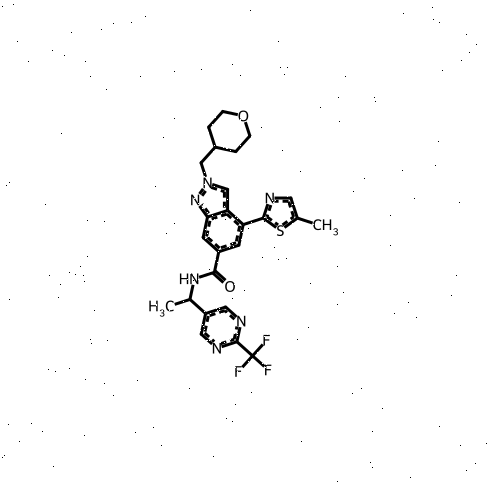 Cc1cnc(-c2cc(C(=O)NC(C)c3cnc(C(F)(F)F)nc3)cc3nn(CC4CCOCC4)cc23)s1